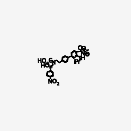 CC(C)Sc1cc(-c2ccc(CCN(C[C@@H](O)c3ccc([N+](=O)[O-])cc3)C(=O)O)cc2)ccc1C(=O)NS(C)(=O)=O